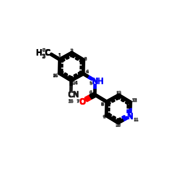 Cc1ccc(NC(=O)c2ccncc2)c(C#N)c1